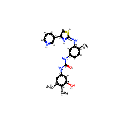 COc1cc(NC(=O)Nc2ccc(C)c(Nc3nc(-c4cccnc4)cs3)c2)cc(O)c1OC